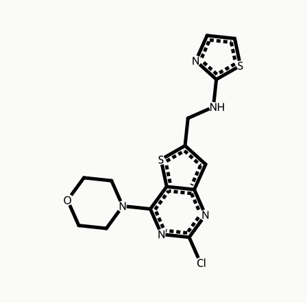 Clc1nc(N2CCOCC2)c2sc(CNc3nccs3)cc2n1